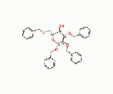 O[C@H]1[C@H](OCc2ccccc2)[C@@H](OCc2ccccc2)[C@H](OCc2ccccc2)O[C@@H]1COCc1ccccc1